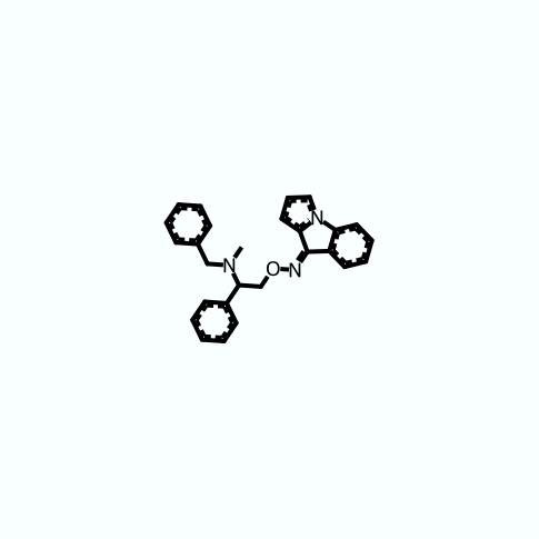 CN(Cc1ccccc1)C(CON=C1c2ccccc2-n2cccc21)c1ccccc1